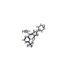 Br.O=C1N=C(N2CCOCC2)S/C1=C/c1cccc(C(F)(F)F)c1